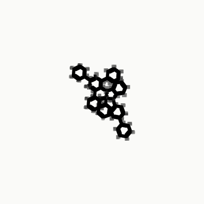 O=P1(c2ccccc2)N(c2ccc(-c3ccccc3)cc2)c2ccccc2N1c1c(-c2ccccc2)nc(-c2ccccc2)nc1-c1ccccc1